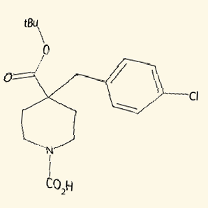 CC(C)(C)OC(=O)C1(Cc2ccc(Cl)cc2)CCN(C(=O)O)CC1